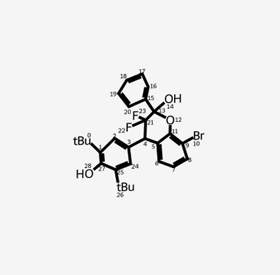 CC(C)(C)c1cc(C2c3cccc(Br)c3OC(O)(c3ccccc3)C2(F)F)cc(C(C)(C)C)c1O